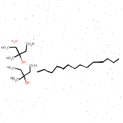 CCCCCCCCCCCCCC.O.O=C(O)CC(O)(CC(=O)O)C(=O)O.O=C(O)CC(O)(CC(=O)O)C(=O)O